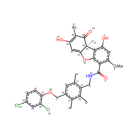 COc1cc(O)c2c(c1C(=O)NCc1c(C)cc(COc3ccc(Cl)cc3Cl)c(C)c1C)OC1=CC(O)=C(C(C)=O)C(=O)[C@]12C